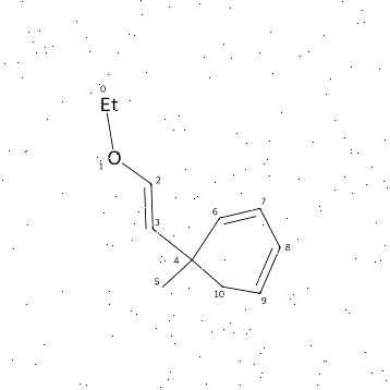 CCOC=CC1(C)C=CC=CC1